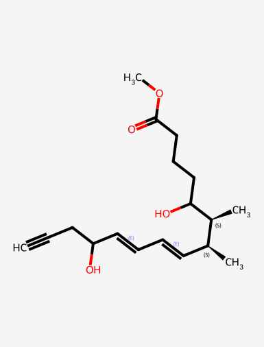 C#CCC(O)/C=C/C=C/[C@H](C)[C@H](C)C(O)CCCC(=O)OC